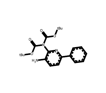 CC(C)(C)OC(=O)N(C(=O)OC(C)(C)C)c1nc(-c2ccccc2)ccc1N